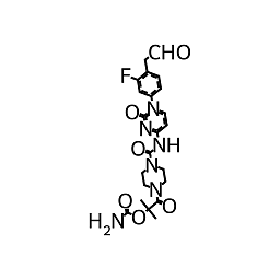 CC(C)(OC(N)=O)C(=O)N1CCN(C(=O)Nc2ccn(-c3ccc(CC=O)c(F)c3)c(=O)n2)CC1